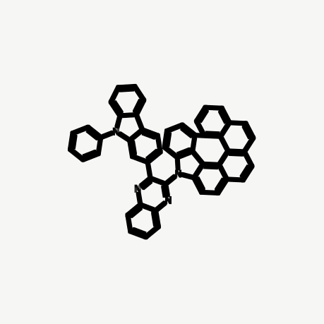 c1ccc(-n2c3ccccc3c3ccc(-c4nc5ccccc5nc4-n4c5cccc6c5c5c7c(ccc8ccc9cccc-6c9c87)ccc54)cc32)cc1